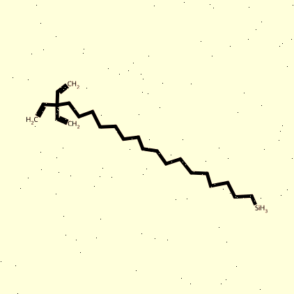 C=CC(C=C)(C=C)CCCCCCCCCCCCCCCCC[SiH3]